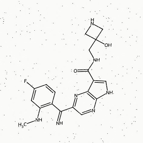 CNc1cc(F)ccc1C(=N)c1cnc2[nH]cc(C(=O)NCC3(O)CNC3)c2n1